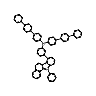 c1ccc(-c2ccc(-c3ccc(N(c4ccc(-c5ccc(-c6ccccc6)cc5)cc4)c4cccc(-c5cccc6c5c5ccc7ccccc7c5n6-c5ccccc5)c4)cc3)cc2)cc1